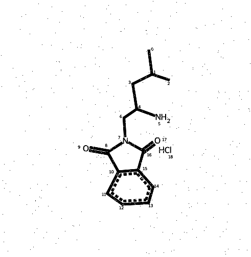 CC(C)CC(N)CN1C(=O)c2ccccc2C1=O.Cl